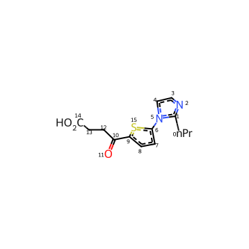 CCCc1nccn1-c1ccc(C(=O)CCC(=O)O)s1